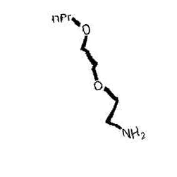 CCCOCCOCCN